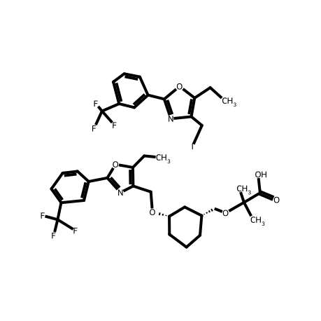 CCc1oc(-c2cccc(C(F)(F)F)c2)nc1CI.CCc1oc(-c2cccc(C(F)(F)F)c2)nc1CO[C@H]1CCC[C@@H](COC(C)(C)C(=O)O)C1